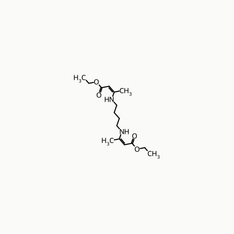 CCOC(=O)/C=C(/C)NCCCCN/C(C)=C\C(=O)OCC